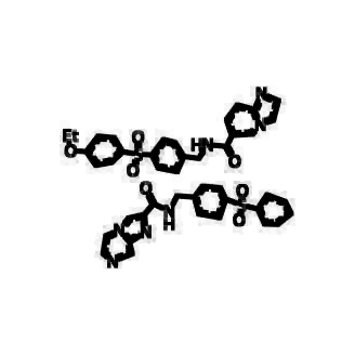 CCOc1ccc(S(=O)(=O)c2ccc(CNC(=O)c3ccc4nccn4c3)cc2)cc1.O=C(NCc1ccc(S(=O)(=O)c2ccccc2)cc1)c1cn2ccncc2n1